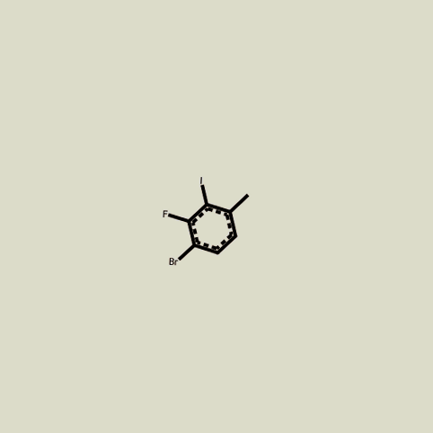 Cc1ccc(Br)c(F)c1I